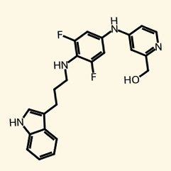 OCc1cc(Nc2cc(F)c(NCCCc3c[nH]c4ccccc34)c(F)c2)ccn1